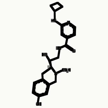 O=C(NCC(O)[C@@H]1Cc2ccc(O)cc2CN1C(=O)O)c1ccnc(NC2CCC2)c1